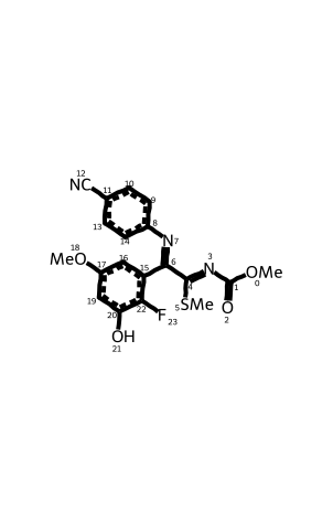 COC(=O)N=C(SC)C(=Nc1ccc(C#N)cc1)c1cc(OC)cc(O)c1F